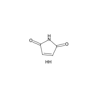 O=C1C=CC(=O)N1.[HH]